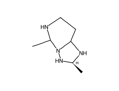 CC1NCCC2N[C@@H](C)NN12